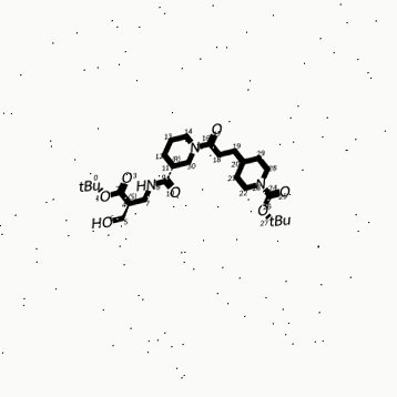 CC(C)(C)OC(=O)[C@H](CO)CNC(=O)[C@@H]1CCCN(C(=O)CCC2CCN(C(=O)OC(C)(C)C)CC2)C1